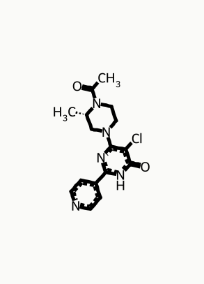 CC(=O)N1CCN(c2nc(-c3ccncc3)[nH]c(=O)c2Cl)C[C@@H]1C